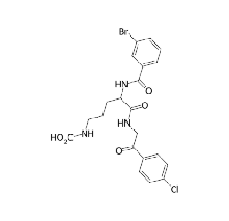 O=C(O)NCCCC(NC(=O)c1cccc(Br)c1)C(=O)NCC(=O)c1ccc(Cl)cc1